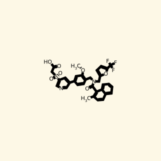 COc1cc(-c2cncc(S(=O)(=O)CC(=O)O)c2)ccc1CN(Cc1ccc(C(F)(F)F)o1)C(=O)c1c(C)ccc2ccccc12